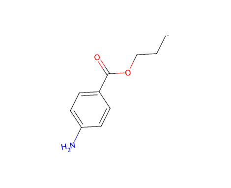 [CH2]CCOC(=O)c1ccc(N)cc1